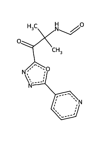 CC(C)(NC=O)C(=O)c1nnc(-c2cccnc2)o1